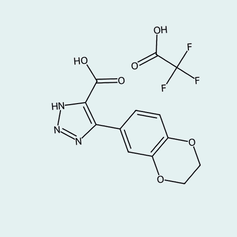 O=C(O)C(F)(F)F.O=C(O)c1[nH]nnc1-c1ccc2c(c1)OCCO2